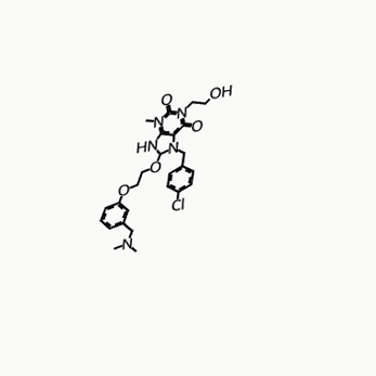 CN(C)Cc1cccc(OCCOC2Nc3c(c(=O)n(CCO)c(=O)n3C)N2Cc2ccc(Cl)cc2)c1